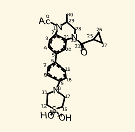 CC(=O)N1c2ccc(-c3ccc(N4CCS(O)(O)CC4)cc3)cc2N(C(=O)C2CC2)CC1C